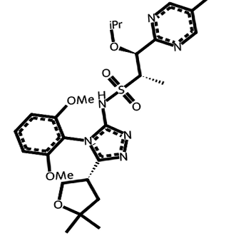 COc1cccc(OC)c1-n1c(NS(=O)(=O)[C@@H](C)[C@@H](OC(C)C)c2ncc(C)cn2)nnc1[C@H]1COC(C)(C)C1